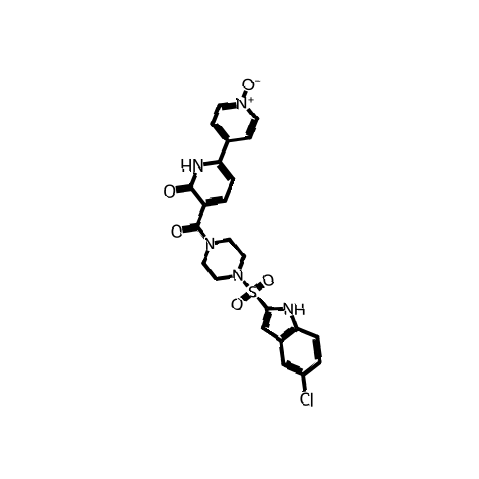 O=C(c1ccc(-c2cc[n+]([O-])cc2)[nH]c1=O)N1CCN(S(=O)(=O)c2cc3cc(Cl)ccc3[nH]2)CC1